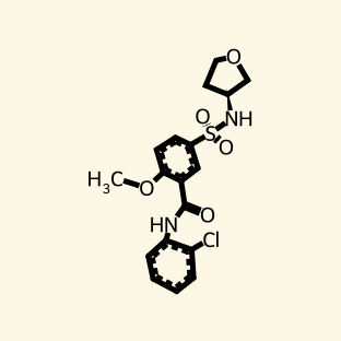 COc1ccc(S(=O)(=O)N[C@H]2CCOC2)cc1C(=O)Nc1ccccc1Cl